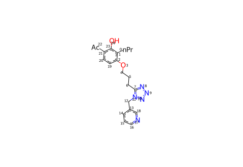 CCCc1c(OCCCc2nnnn2Cc2cccnc2)ccc(C(C)=O)c1O